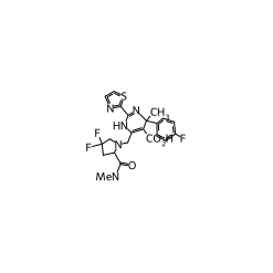 CNC(=O)C1CC(F)(F)CN1CC1=C(C(=O)O)C(C)(c2ccc(F)cc2)N=C(c2nccs2)N1